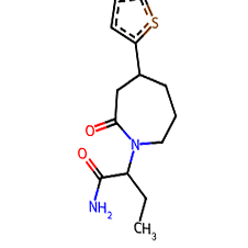 CCC(C(N)=O)N1CCCC(c2cccs2)CC1=O